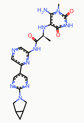 C[C@H](Nc1c(N)n(C)c(=O)[nH]c1=O)C(=O)Nc1cncc(-c2cnc(N3CC4CC4C3)nc2)n1